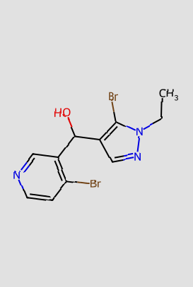 CCn1ncc(C(O)c2cnccc2Br)c1Br